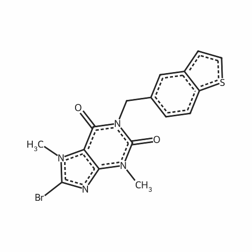 Cn1c(Br)nc2c1c(=O)n(Cc1ccc3sccc3c1)c(=O)n2C